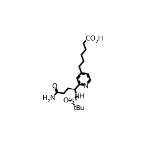 CC(C)(C)[S+]([O-])N[C@@H](CCC(N)=O)c1cc(CCCCCC(=O)O)ccn1